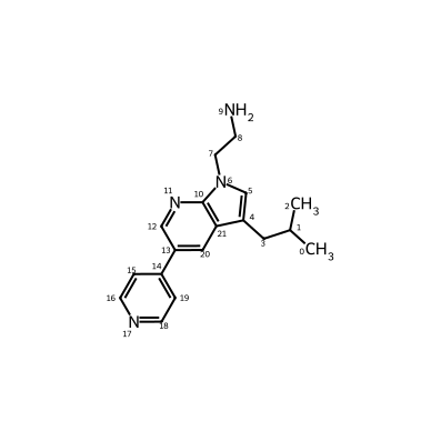 CC(C)Cc1cn(CCN)c2ncc(-c3ccncc3)cc12